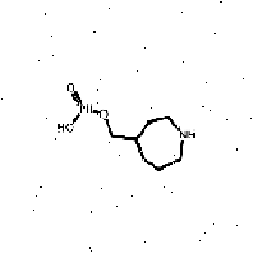 O=[PH](O)OCC1CCCNCC1